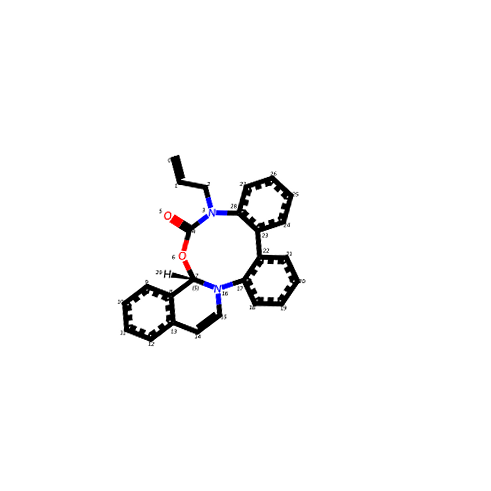 C=CCN1C(=O)O[C@H]2c3ccccc3C=CN2c2ccccc2-c2ccccc21